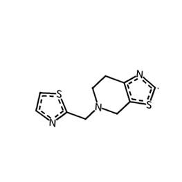 [c]1nc2c(s1)CN(Cc1nccs1)CC2